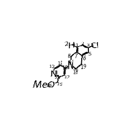 [2H]c1cc(Cl)cc2c1CN(c1ccnc(COC)c1)CC2